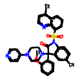 CCOc1ccccc1C1(N2CCN(c3ccncc3)CC2)C(=O)N(S(=O)(=O)c2cccc3c(CC)ccnc23)c2ccc(C#N)cc21